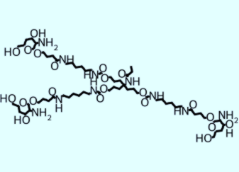 CCC(=O)NC(CCCOC(=O)NCCCCCCNC(=O)CCCOC1OC(CO)CC(O)C1N)(CCCOC(=O)NCCCCCCNC(=O)CCCOC1OC(CO)CC(O)C1N)CCCOC(=O)NCCCCCCNC(=O)CCCOC1OC(CO)CC(O)C1N